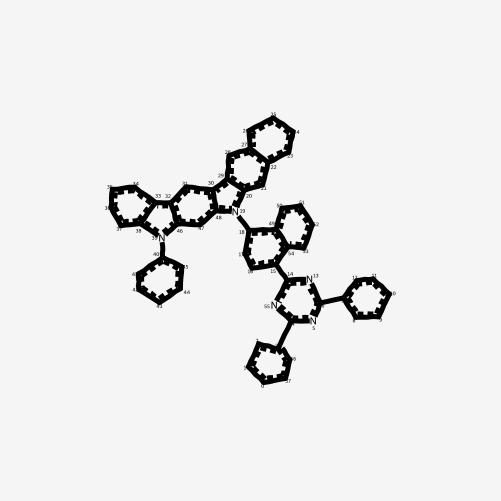 c1ccc(-c2nc(-c3ccccc3)nc(-c3ccc(-n4c5cc6ccccc6cc5c5cc6c7ccccc7n(-c7ccccc7)c6cc54)c4ccccc34)n2)cc1